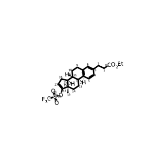 CCOC(=O)CCc1ccc2c(c1)CC[C@@H]1[C@@H]2CC[C@]2(C)C(OS(=O)(=O)C(F)(F)F)=CC[C@@H]12